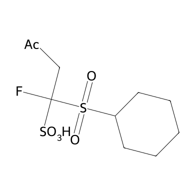 CC(=O)CC(F)(S(=O)(=O)O)S(=O)(=O)C1CCCCC1